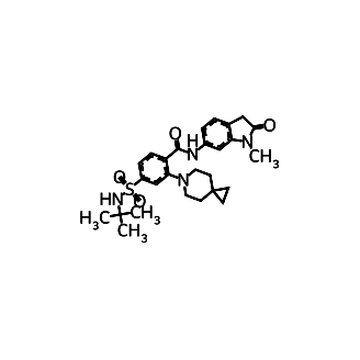 CN1C(=O)Cc2ccc(NC(=O)c3ccc(S(=O)(=O)NC(C)(C)C)cc3N3CCC4(CC3)CC4)cc21